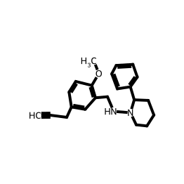 C#CCc1ccc(OC)c(CNN2CCCCC2c2ccccc2)c1